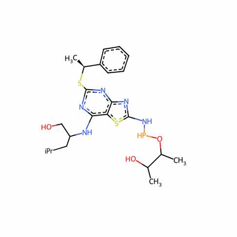 CC(C)CC(CO)Nc1nc(S[C@@H](C)c2ccccc2)nc2nc(NPOC(C)C(C)O)sc12